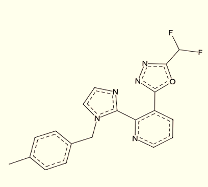 Cc1ccc(Cn2ccnc2-c2ncccc2-c2nnc(C(F)F)o2)cc1